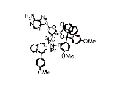 COc1ccc(C(=O)N2CCC[C@@H]2COP(=O)(O[C@H]2C[C@H](n3cnc4c(N)ncnc43)O[C@@H]2C(OC(c2ccccc2)(c2ccc(OC)cc2)c2ccc(OC)cc2)C(=O)c2ccccc2)N(C(C)C)C(C)C)cc1